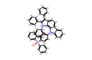 O=P(c1ccccc1)(c1ccccc1)c1ccc(-n2c3ccccc3c3ccc4c(-c5ccccc5)c(-c5ccccc5)n(-c5ccccc5)c4c32)cc1